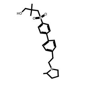 CC1CCCN1CCc1ccc(-c2ccc(S(=O)(=O)CC(C)(C)CO)cc2)cc1